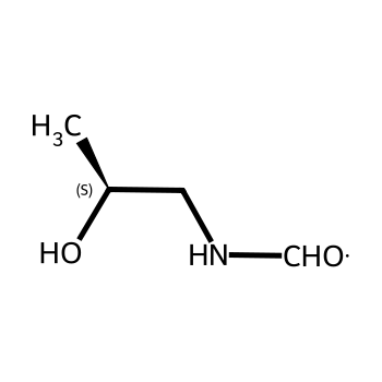 C[C@H](O)CN[C]=O